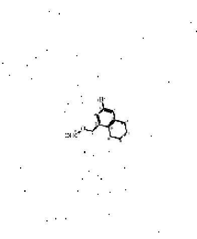 O=COCc1cc(Br)cc2c1CCCC2